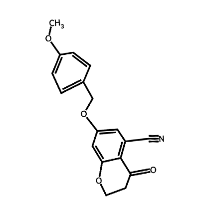 COc1ccc(COc2cc(C#N)c3c(c2)OCCC3=O)cc1